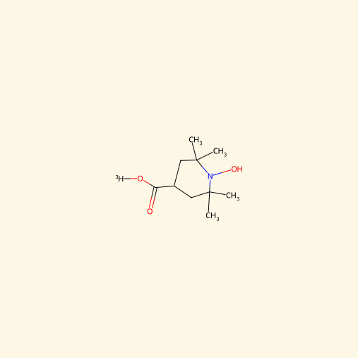 [3H]OC(=O)C1CC(C)(C)N(O)C(C)(C)C1